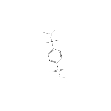 CN(C)C(C)(C)c1ccc(S(N)(=O)=O)cc1